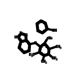 CCCCc1c(C)c(C)c(C)c(C)c1Oc1cccc2[nH]nnc12.Oc1ccccc1